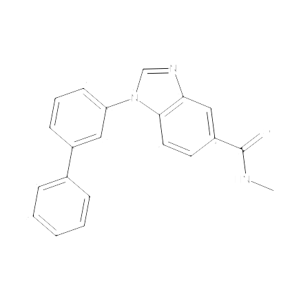 CNC(=O)c1ccc2c(c1)ncn2-c1cccc(-c2ccccc2)c1